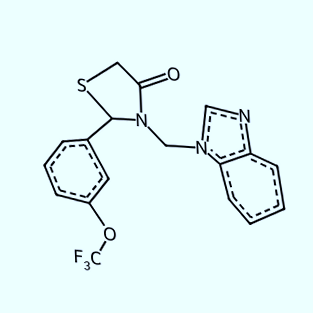 O=C1CSC(c2cccc(OC(F)(F)F)c2)N1Cn1cnc2ccccc21